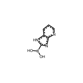 OB(O)c1nc2ncccc2[nH]1